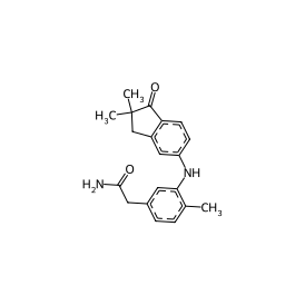 Cc1ccc(CC(N)=O)cc1Nc1ccc2c(c1)CC(C)(C)C2=O